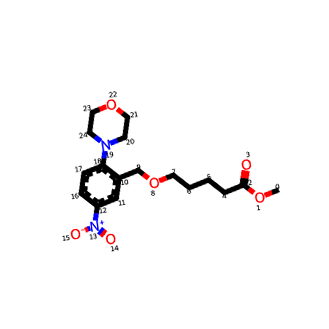 COC(=O)CCCCOCc1cc([N+](=O)[O-])ccc1N1CCOCC1